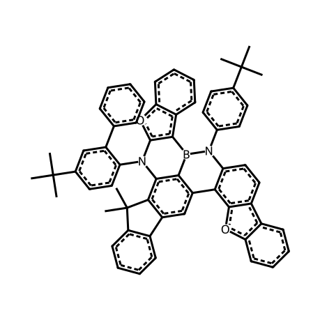 CC(C)(C)c1ccc(N2B3c4c(cc5c(c4N(c4ccc(C(C)(C)C)cc4-c4ccccc4)c4oc6ccccc6c43)C(C)(C)c3ccccc3-5)-c3c2ccc2c3oc3ccccc32)cc1